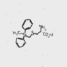 C[Si](CSC[C@H](N)C(=O)O)(c1ccccc1)c1ccccc1